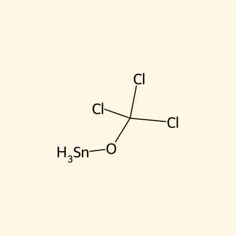 ClC(Cl)(Cl)[O][SnH3]